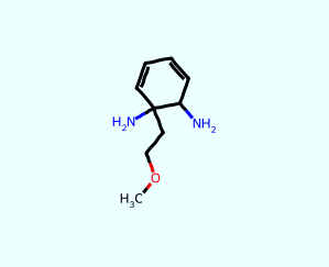 COCCC1(N)C=CC=CC1N